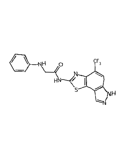 O=C(CNc1ccccc1)Nc1nc2c(C(F)(F)F)cc3[nH]ncc3c2s1